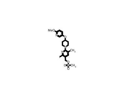 COc1ccc(OC2CCN(c3nc(I)c(COS(C)(=O)=O)cc3C)CC2)cn1